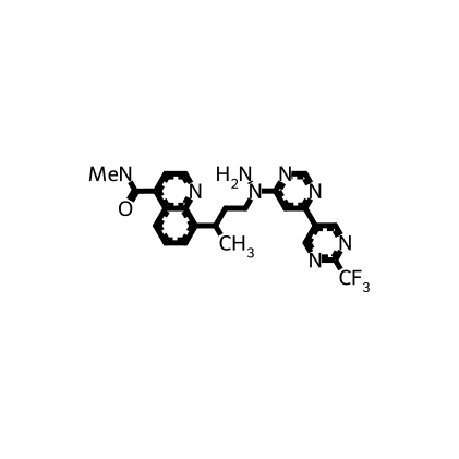 CNC(=O)c1ccnc2c(C(C)CCN(N)c3cc(-c4cnc(C(F)(F)F)nc4)ncn3)cccc12